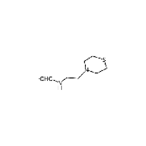 O=[C]NCCN1CCSCC1